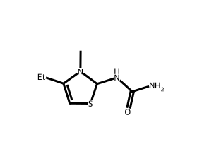 CCC1=CSC(NC(N)=O)N1C